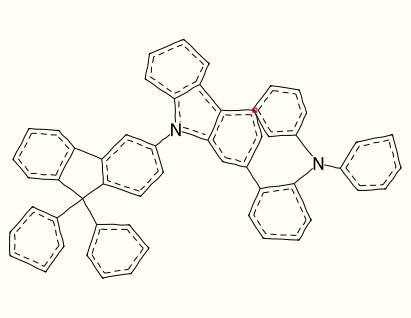 c1ccc(N(c2ccccc2)c2ccccc2-c2ccc3c4ccccc4n(-c4ccc5c(c4)-c4ccccc4C5(c4ccccc4)c4ccccc4)c3c2)cc1